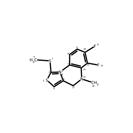 CSc1scc2[n+]1-c1ccc(F)c(F)c1N(C)C2